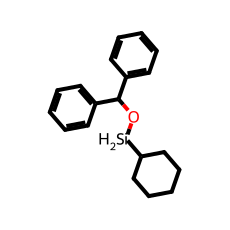 c1ccc(C(O[SiH2]C2CCCCC2)c2ccccc2)cc1